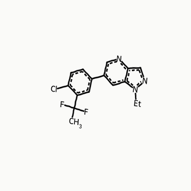 [CH2]Cn1ncc2ncc(-c3ccc(Cl)c(C(C)(F)F)c3)cc21